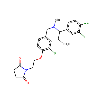 CCCCN(Cc1ccc(OCCN2C(=O)CCC2=O)c(F)c1)C(CC(=O)O)c1ccc(Cl)c(F)c1